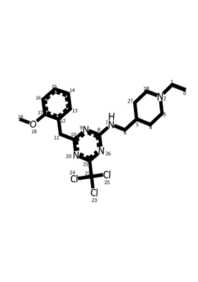 CCN1CCC(CNc2nc(Cc3ccccc3OC)nc(C(Cl)(Cl)Cl)n2)CC1